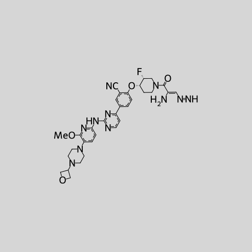 COc1nc(Nc2nccc(-c3ccc(O[C@H]4CCN(C(=O)/C(N)=C/N=N)C[C@H]4F)c(C#N)c3)n2)ccc1N1CCN(C2COC2)CC1